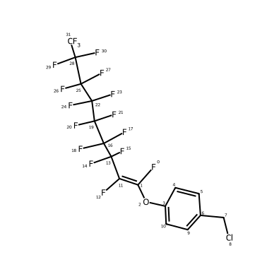 FC(Oc1ccc(CCl)cc1)=C(F)C(F)(F)C(F)(F)C(F)(F)C(F)(F)C(F)(F)C(F)(F)C(F)(F)F